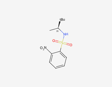 C[C@H](NS(=O)(=O)c1ccccc1[N+](=O)[O-])C(C)(C)C